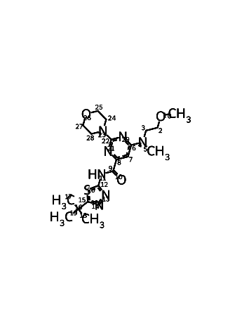 COCCN(C)c1cc(C(=O)Nc2nnc(C(C)(C)C)s2)nc(N2CCOCC2)n1